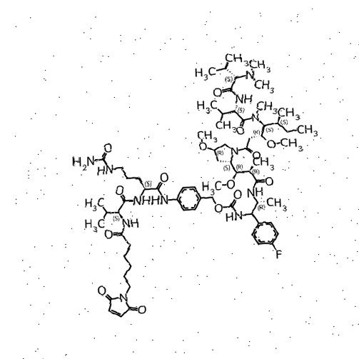 CC[C@H](C)[C@@H]([C@@H](CC(=O)N1C[C@H](OC)C[C@H]1[C@H](OC)[C@@H](C)C(=O)N[C@H](C)C(NC(=O)OCc1ccc(NC(=O)[C@H](CCCNC(N)=O)NC(=O)[C@@H](NC(=O)CCCCCN2C(=O)C=CC2=O)C(C)C)cc1)c1ccc(F)cc1)OC)N(C)C(=O)[C@@H](NC(=O)[C@H](C(C)C)N(C)C)C(C)C